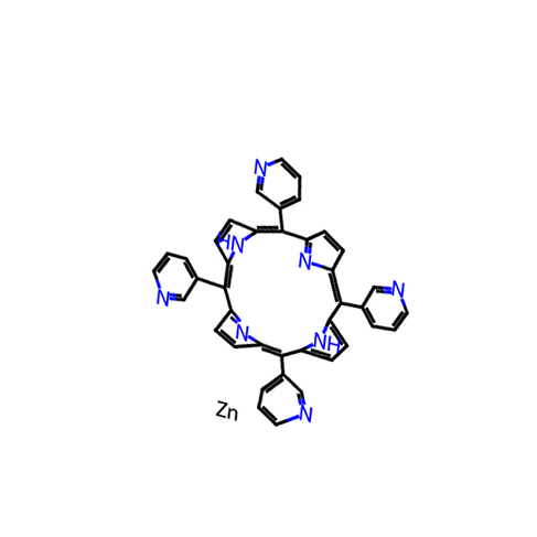 C1=Cc2nc1c(-c1cccnc1)c1ccc([nH]1)c(-c1cccnc1)c1nc(c(-c3cccnc3)c3ccc([nH]3)c2-c2cccnc2)C=C1.[Zn]